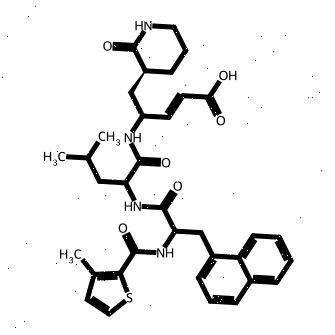 Cc1ccsc1C(=O)NC(Cc1cccc2ccccc12)C(=O)NC(CC(C)C)C(=O)NC(/C=C/C(=O)O)C[C@@H]1CCCNC1=O